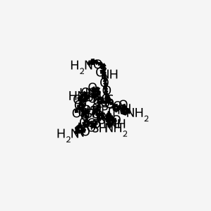 Cc1cn([C@H]2CC(OP(=S)(OCCOCCOCCNC(=O)CC(C)(C)COCC(C)(C)CN)OC[C@H]3O[C@@H](n4ccc(N)nc4=O)CC3C(C)C)[C@@H](COP(=S)(S)OC3C[C@H](n4cnc5c(=O)[nH]c(N)nc54)O[C@@H]3COP(=O)(S)OC3C[C@H](n4ccc(N)nc4=O)O[C@@H]3COP(=O)(S)OC3C[C@H](n4cc(Br)c(=O)[nH]c4=O)O[C@@H]3CO)O2)c(=O)[nH]c1=O